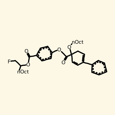 CCCCCCCCOC1(C(=O)Oc2ccc(C(=O)OC(CF)CCCCCCCC)cc2)C=CC(c2ccccc2)=CC1